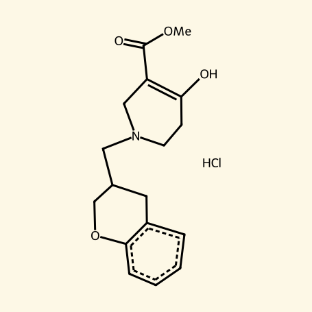 COC(=O)C1=C(O)CCN(CC2COc3ccccc3C2)C1.Cl